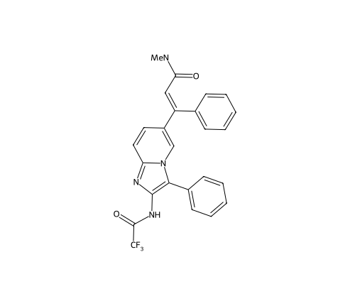 CNC(=O)/C=C(\c1ccccc1)c1ccc2nc(NC(=O)C(F)(F)F)c(-c3ccccc3)n2c1